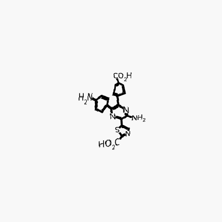 Nc1ccc(-c2nc(-c3cnc(C(=O)O)s3)c(N)nc2-c2ccc(C(=O)O)cc2)cc1